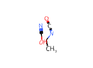 CCN=C=O.N#CO